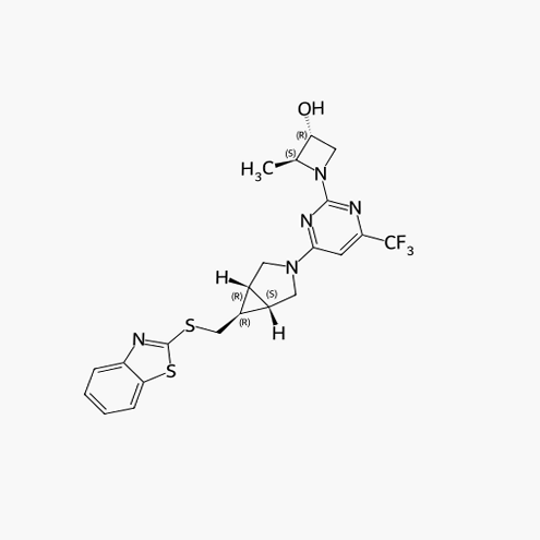 C[C@H]1[C@H](O)CN1c1nc(N2C[C@@H]3[C@@H](CSc4nc5ccccc5s4)[C@@H]3C2)cc(C(F)(F)F)n1